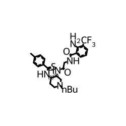 CCCCN1CC[C@@H](NC(=S)c2ccc(C)cc2)[C@@H](NC(=O)CNC(=O)c2cccc(C(F)(F)F)c2N)C1